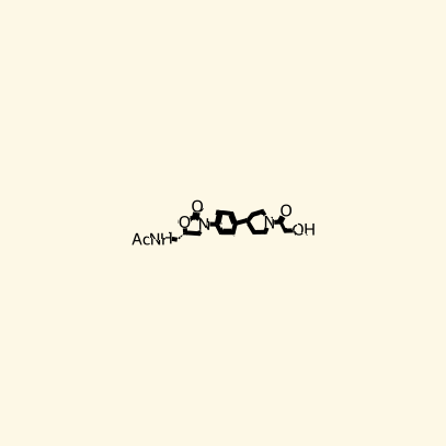 CC(=O)NC[C@H]1CN(c2ccc(C3CCN(C(=O)CO)CC3)cc2)C(=O)O1